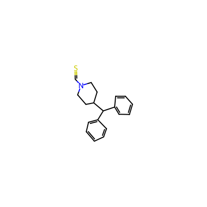 S=CN1CCC(C(c2ccccc2)c2ccccc2)CC1